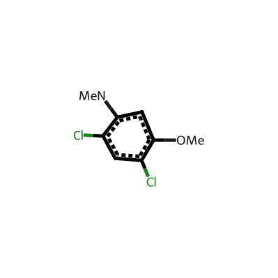 CNc1cc(OC)c(Cl)cc1Cl